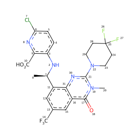 C[C@@H](Nc1ccc(Cl)nc1C(=O)O)c1cc(C(F)(F)F)cc2c(=O)n(C)c(N3CCC(F)(F)CC3)nc12